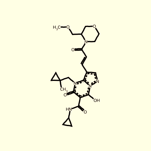 COCC1COCCN1C(=O)C=Cc1cnn2c(O)c(C(=O)NC3CC3)c(=O)n(CC3(C)CC3)c12